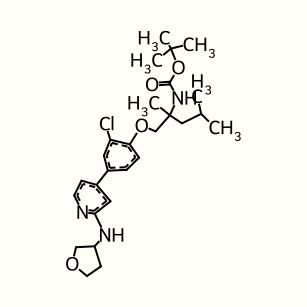 CC(C)CC(C)(COc1ccc(-c2ccnc(NC3CCOC3)c2)cc1Cl)NC(=O)OC(C)(C)C